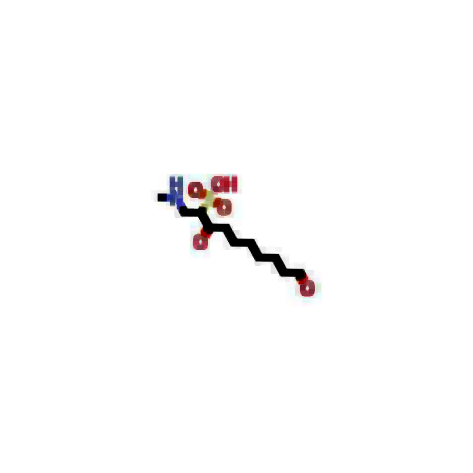 CNCC(C(=O)CCCCCCC=O)S(=O)(=O)O